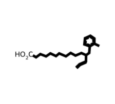 C=C=CC(CCCCCCCCCCC(=O)O)Cc1ccccc1C